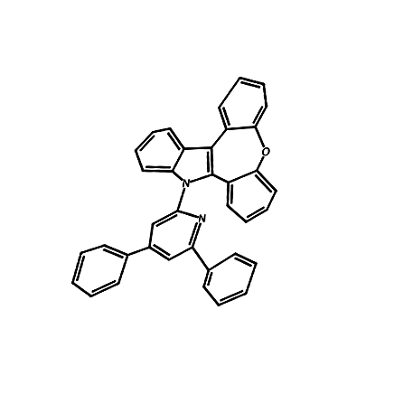 c1ccc(-c2cc(-c3ccccc3)nc(-n3c4c(c5ccccc53)-c3ccccc3Oc3ccccc3-4)c2)cc1